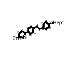 CCCCCCCc1ccc(CCc2ccc(-c3ccc(CC)cn3)cc2)cc1